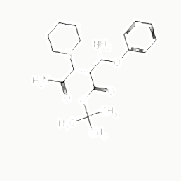 CC(C)(C)OC(=O)C([C@H](N)Oc1ccccc1)[C@H](C(N)=O)N1C[CH]CCC1